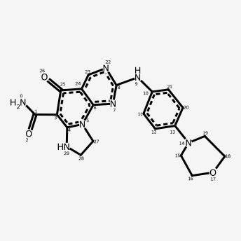 NC(=O)c1c2n(c3nc(Nc4ccc(N5CCOCC5)cc4)ncc3c1=O)CCN2